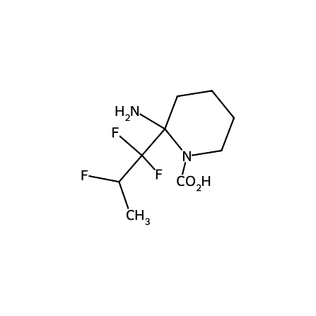 CC(F)C(F)(F)C1(N)CCCCN1C(=O)O